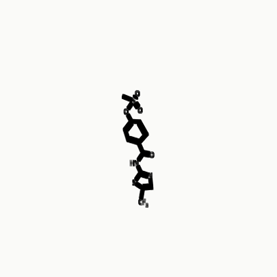 CS(=O)(=O)Oc1ccc(C(=O)Nc2ncc(C(F)(F)F)s2)cc1